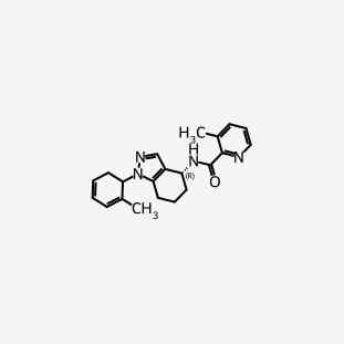 CC1=CC=CCC1n1ncc2c1CCC[C@H]2NC(=O)c1ncccc1C